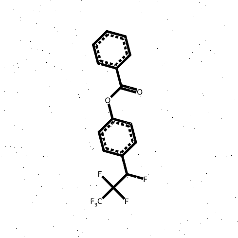 O=C(Oc1ccc(C(F)C(F)(F)C(F)(F)F)cc1)c1ccccc1